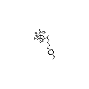 COc1ccc(OCCCN(C)CCC(O)(P(=O)(O)O)P(=O)(O)O)cc1